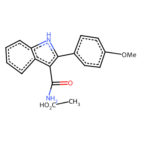 CC(=O)O.COc1ccc(-c2[nH]c3ccccc3c2C(N)=O)cc1